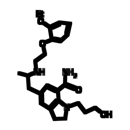 CCOc1ccccc1OCCNC(C)Cc1cc2c(c(C(N)=O)c1)N(CCCO)CC2